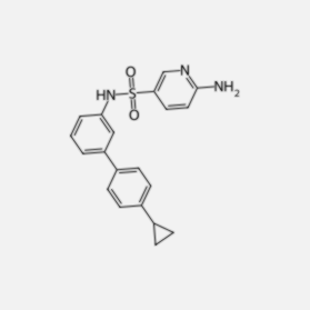 Nc1ccc(S(=O)(=O)Nc2cccc(-c3ccc(C4CC4)cc3)c2)cn1